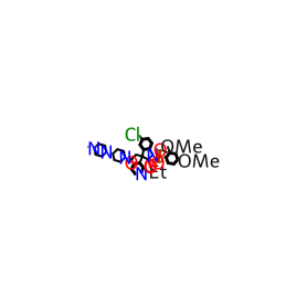 CCOc1ncccc1C1(CC(=O)N2CCC(N3CCN(C)CC3)CC2)C(=O)N(S(=O)(=O)c2ccc(OC)cc2OC)c2ccc(Cl)cc21